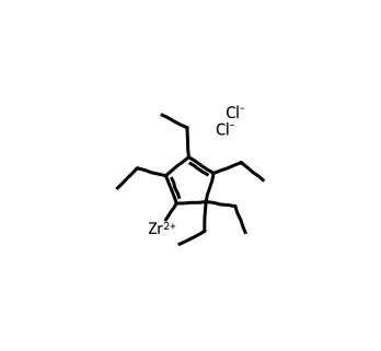 CCC1=[C]([Zr+2])C(CC)(CC)C(CC)=C1CC.[Cl-].[Cl-]